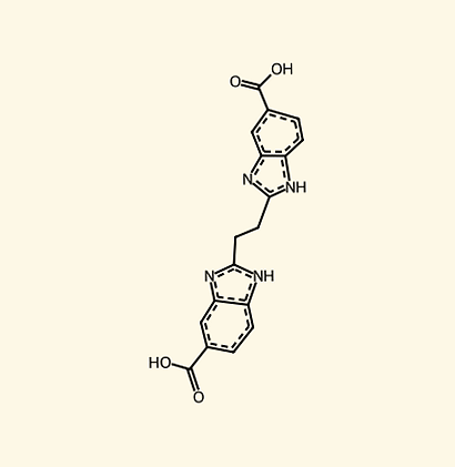 O=C(O)c1ccc2[nH]c(CCc3nc4cc(C(=O)O)ccc4[nH]3)nc2c1